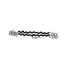 CCCCCCCCCCCCCCCCCCCCCCCCCCCC(=O)[O-].CCCCCCCCCCCCCCCCCCCCCCCCCCCC(=O)[O-].[Cu+2]